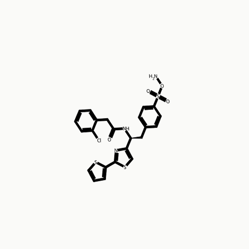 NOS(=O)(=O)c1ccc(C[C@H](NC(=O)Cc2ccccc2Cl)c2csc(-c3cccs3)n2)cc1